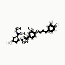 N/C(=N\O)N1C[C@H](O)C[C@H]1c1nc(-c2ccc(OCCCc3ccc(Cl)c(Cl)c3)c(C(F)(F)F)c2)no1